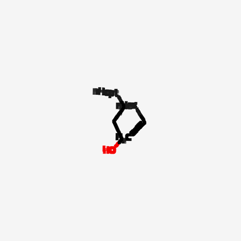 C=CCCCCCC.CCCCCCCCCCO